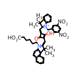 CC1(C)C(/C=C2/C(=O)C(/C=C3\N(CCCCCC(=O)O)c4ccc5ccccc5c4C3(C)C)=C2O)=[N+](Cc2cc([N+](=O)[O-])cc([N+](=O)[O-])c2)c2ccccc21